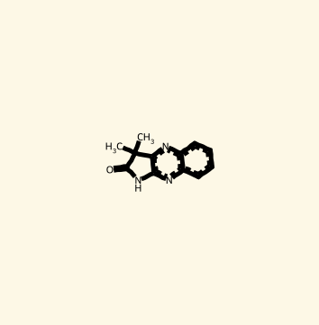 CC1(C)C(=O)Nc2nc3ccccc3nc21